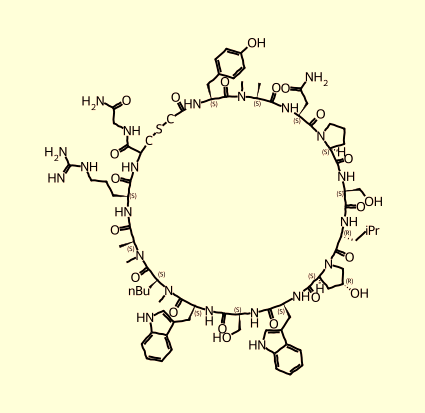 CCCC[C@H]1C(=O)N(C)[C@@H](C)C(=O)N[C@@H](CCCNC(=N)N)C(=O)NC(C(=O)NCC(N)=O)CSCC(=O)N[C@@H](Cc2ccc(O)cc2)C(=O)N(C)[C@@H](C)C(=O)N[C@@H](CC(N)=O)C(=O)N2CCC[C@H]2C(=O)N[C@@H](CO)C(=O)N[C@H](CC(C)C)C(=O)N2C[C@H](O)C[C@H]2C(=O)N[C@@H](Cc2c[nH]c3ccccc23)C(=O)N[C@@H](CO)C(=O)N[C@@H](Cc2c[nH]c3ccccc23)C(=O)N1C